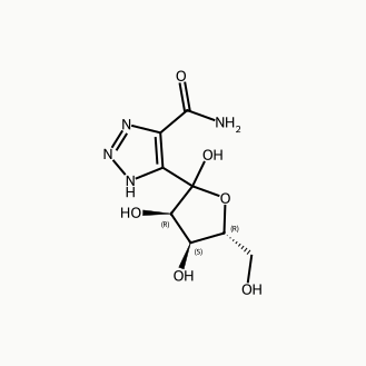 NC(=O)c1nn[nH]c1C1(O)O[C@H](CO)[C@@H](O)[C@H]1O